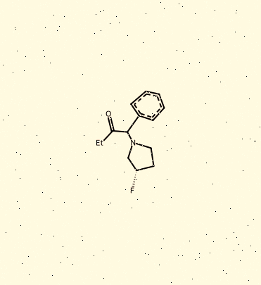 CCC(=O)C(c1ccccc1)N1CC[C@H](F)C1